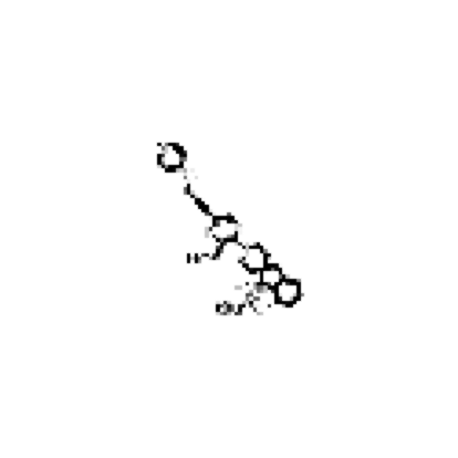 CC(C)(C)[S+]([O-])N[C@@H]1c2ccccc2CC12CCN(c1ncc(C#CCOc3ccncc3)nc1CO)CC2